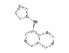 [c]1occc1Nc1cccc2ccccc12